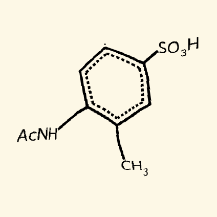 CC(=O)Nc1c[c]c(S(=O)(=O)O)cc1C